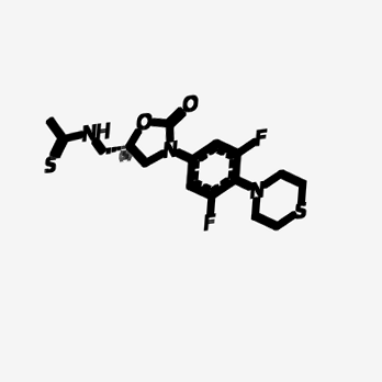 CC(=S)NC[C@H]1CN(c2cc(F)c(N3CCSCC3)c(F)c2)C(=O)O1